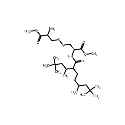 COC(=O)C(N)CSSC[C@H](NC(=O)C(CCC(C)CC(C)(C)C)C(C)CC(C)(C)C)C(=O)OC